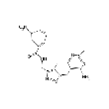 Cc1ncc(Cn2nnc(CNC(=O)c3cccc([N+](=O)[O-])c3)c2I)c(N)n1